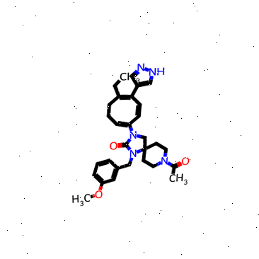 CC/C1=C(c2cn[nH]c2)/C=C\C(N2CC3(CCN(C(C)=O)CC3)N(Cc3cccc(OC)c3)C2=O)=C/CC1